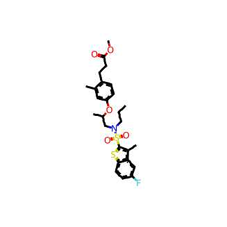 CCCN(CC(C)Oc1ccc(CCC(=O)OC)c(C)c1)S(=O)(=O)c1sc2ccc(F)cc2c1C